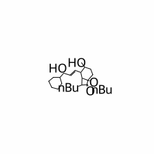 CCCCOC12CCC(O)C(C=CC(O)C3CCCCC3)C1C(CCCC)C2=O